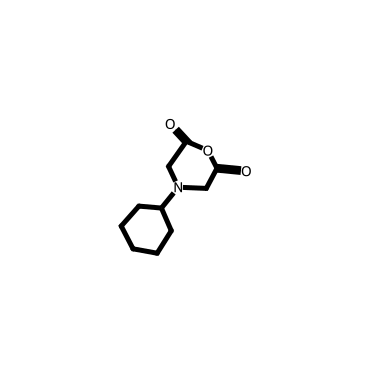 O=C1CN(C2CCCCC2)CC(=O)O1